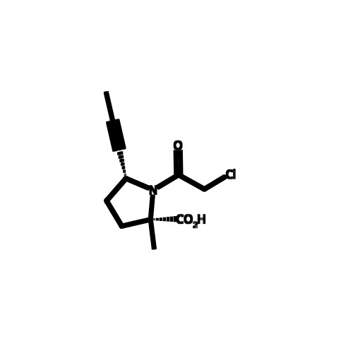 CC#C[C@H]1CC[C@@](C)(C(=O)O)N1C(=O)CCl